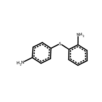 Nc1ccc(Sc2ccccc2N)cc1